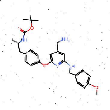 COc1ccc(CNc2cc(CN)cc(Oc3ccc(CC(C)NC(=O)OC(C)(C)C)cc3)n2)cc1